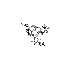 CS(=O)(=O)c1cc(F)c(-c2c(-c3ccc(C#N)cc3)noc2CO)cc1F